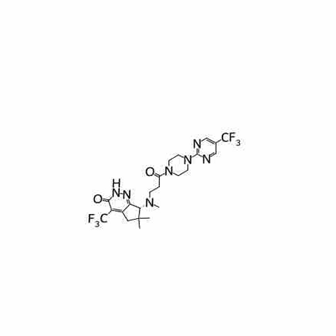 CN(CCC(=O)N1CCN(c2ncc(C(F)(F)F)cn2)CC1)[C@H]1c2n[nH]c(=O)c(C(F)(F)F)c2CC1(C)C